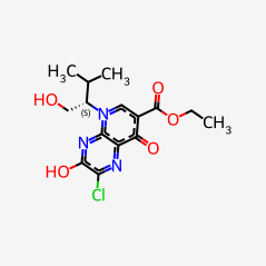 CCOC(=O)c1cn([C@H](CO)C(C)C)c2nc(O)c(Cl)nc2c1=O